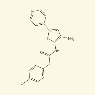 Nc1cc(-c2ccncc2)sc1NC(=O)Cc1ccc(Cl)cc1